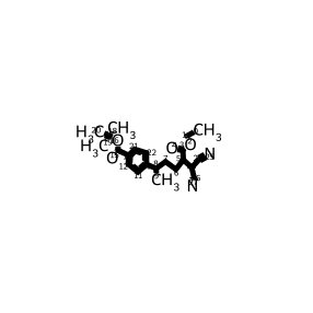 CCOC(=O)C(CCC(C)c1ccc(C(=O)OC(C)(C)C)cc1)C(C#N)C#N